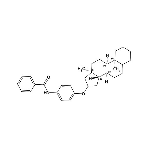 C[C@]12CC[C@@H]3[C@@H](CCC4CCCC[C@@]43C)[C@@H]1CC(Oc1ccc(NC(=O)c3ccccc3)cc1)C2